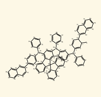 CC1C=C(N(c2ccccc2)c2ccc3c4c5c(c(N(c6ccccc6)c6ccc(-c7ccc8ccccc8c7)cc6)cc4n(-c4ccccc4)c3c2)-c2ccccc2C52c3ccccc3-c3cccnc32)C=CC1c1ccc2ccccc2c1